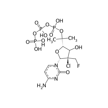 CC(C)(OP(=O)(O)OP(=O)(O)OP(=O)(O)O)[C@H]1O[C@@H](n2ccc(N)nc2=O)[C@@](Cl)(CF)C1O